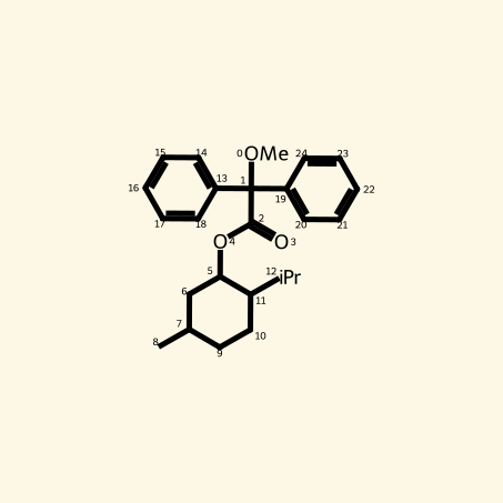 COC(C(=O)OC1CC(C)CCC1C(C)C)(c1ccccc1)c1ccccc1